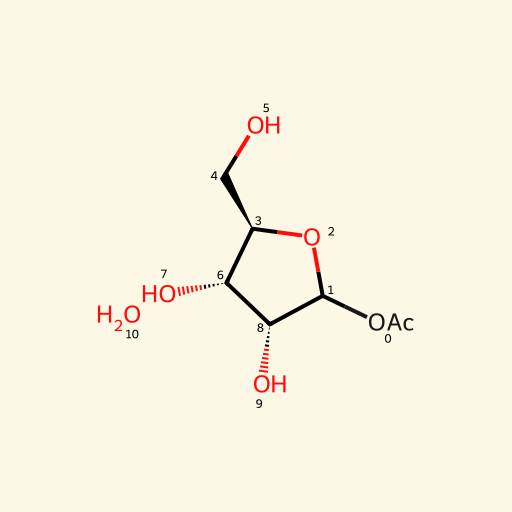 CC(=O)OC1O[C@H](CO)[C@@H](O)[C@H]1O.O